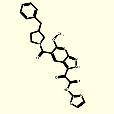 COc1nc2n[nH]c(C(=O)C(=O)Nc3nccs3)c2cc1C(=O)N1CCC(Cc2ccccc2)C1